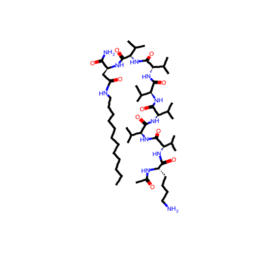 CCCCCCCCCCCCNC(=O)C[C@H](NC(=O)[C@@H](NC(=O)[C@@H](NC(=O)[C@@H](NC(=O)[C@@H](NC(=O)[C@@H](NC(=O)[C@@H](NC(=O)[C@H](CCCCN)NC(C)=O)C(C)C)C(C)C)C(C)C)C(C)C)C(C)C)C(C)C)C(N)=O